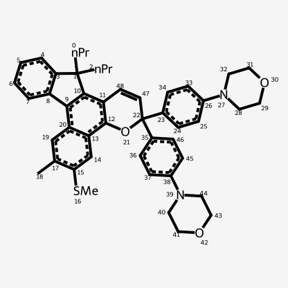 CCCC1(CCC)c2ccccc2-c2c1c1c(c3cc(SC)c(C)cc23)OC(c2ccc(N3CCOCC3)cc2)(c2ccc(N3CCOCC3)cc2)C=C1